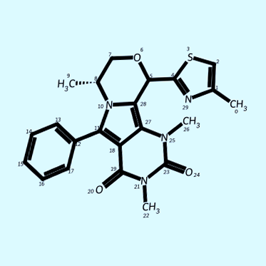 Cc1csc(C2OC[C@@H](C)n3c(-c4ccccc4)c4c(=O)n(C)c(=O)n(C)c4c32)n1